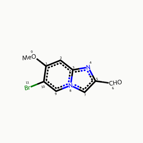 COc1cc2nc(C=O)cn2cc1Br